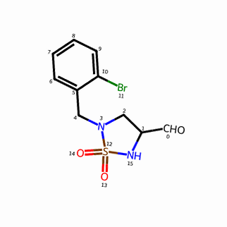 O=CC1CN(Cc2ccccc2Br)S(=O)(=O)N1